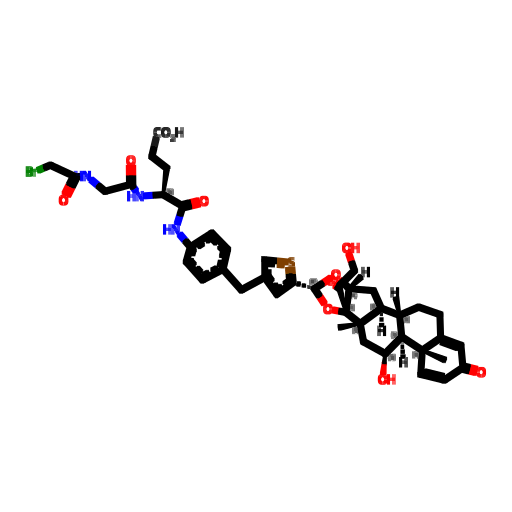 C[C@]12C=CC(=O)C=C1CC[C@@H]1[C@@H]2[C@@H](O)C[C@@]2(C)[C@H]1C[C@H]1O[C@@H](c3cc(Cc4ccc(NC(=O)[C@H](CCC(=O)O)NC(=O)CNC(=O)CBr)cc4)cs3)O[C@]12C(=O)CO